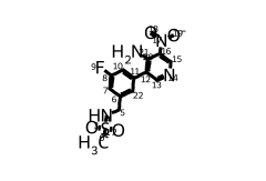 CS(=O)(=O)NCc1cc(F)cc(-c2cncc([N+](=O)[O-])c2N)c1